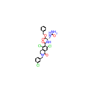 NC(=O)NC[C@H](NC(=O)c1c(Cl)cc2c(c1Cl)CCN(Cc1cccc(Cl)c1)C2=O)C(=O)OCc1ccccc1